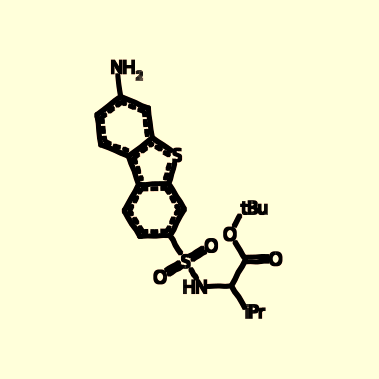 CC(C)C(NS(=O)(=O)c1ccc2c(c1)sc1cc(N)ccc12)C(=O)OC(C)(C)C